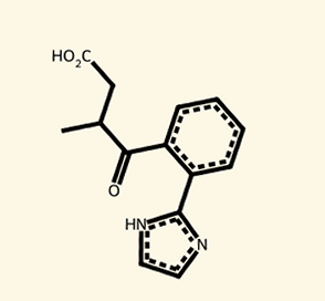 CC(CC(=O)O)C(=O)c1ccccc1-c1ncc[nH]1